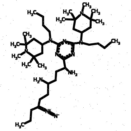 CCCCN(c1nc(C(N)CCC(N)CCC(CCC)=[N+]=[N-])nc(N(CCCC)C2CC(C)(C)N(C)C(C)(C)C2)n1)C1CC(C)(C)N(C)C(C)(C)C1